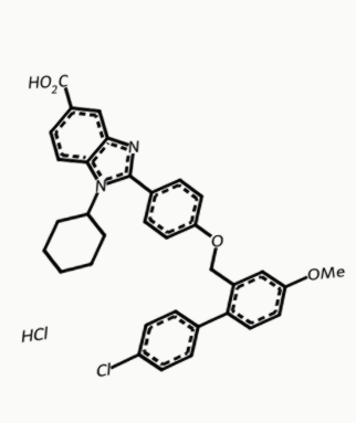 COc1ccc(-c2ccc(Cl)cc2)c(COc2ccc(-c3nc4cc(C(=O)O)ccc4n3C3CCCCC3)cc2)c1.Cl